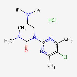 Cc1nc(N(CCN(C(C)C)C(C)C)C(=O)N(C)C)nc(C)c1Cl.Cl